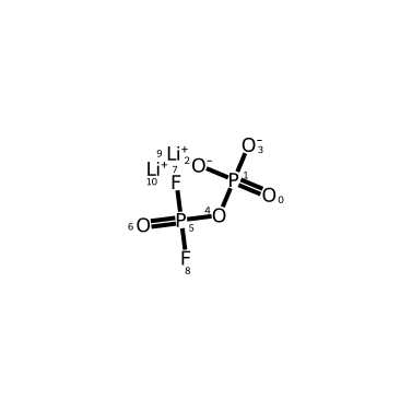 O=P([O-])([O-])OP(=O)(F)F.[Li+].[Li+]